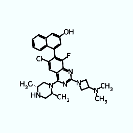 C[C@@H]1CN(c2nc(N3CC(N(C)C)C3)nc3c(F)c(-c4cc(O)cc5ccccc45)c(Cl)cc23)[C@@H](C)CN1